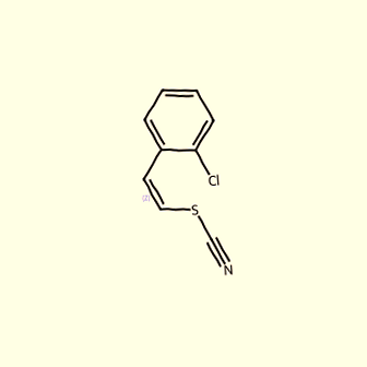 N#CS/C=C\c1ccccc1Cl